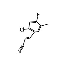 Cc1cc(C=CC#N)c(Cl)cc1F